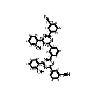 N#Cc1cccc(-c2nc(-c3cccc(-c4nc(-c5cccc(C#N)c5)nc(-c5ccccc5O)n4)c3)nc(-c3ccccc3O)n2)c1